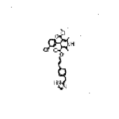 COC(=O)C1=C(C)NC(C)=C(C(=O)OCC=Cc2ccc(Cc3ncc[nH]3)cc2)C1c1cccc(Cl)c1